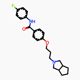 O=C(Nc1ccc(F)cc1)c1ccc(OCCCN2CC3CCCC3C2)cc1